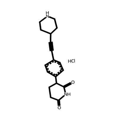 Cl.O=C1CCC(c2ccc(C#CC3CCNCC3)cc2)C(=O)N1